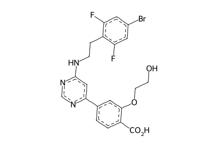 O=C(O)c1ccc(-c2cc(NCCc3c(F)cc(Br)cc3F)ncn2)cc1OCCO